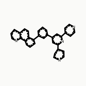 c1cc(-c2cc(-c3ccncc3)nc(-c3ccncc3)c2)cc(-c2cccc3c2ccc2cccnc23)c1